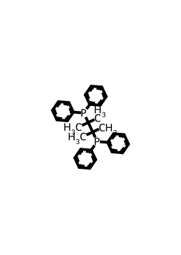 CC(C)(P(c1ccccc1)c1ccccc1)C(C)(C)P(c1ccccc1)c1ccccc1